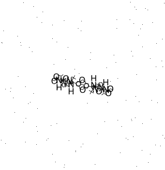 COC(=O)N[C@H](C(=O)N1CCC[C@H]1c1nc(C(C)(C)C)c(-c2cc3c4c(c2)OCc2cc(-c5[nH]c([C@@H]6CCCN6C(=O)[C@@H](NC(=O)OC)C(C)C)nc5C(C)(C)C)cc(c2-4)OC3)[nH]1)C(C)C